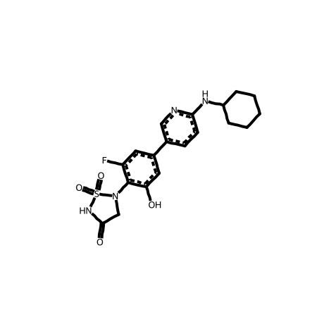 O=C1CN(c2c(O)cc(-c3ccc(NC4CCCCC4)nc3)cc2F)S(=O)(=O)N1